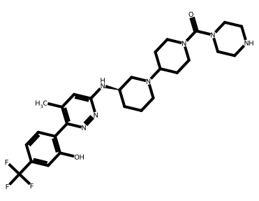 Cc1cc(N[C@@H]2CCCN(C3CCN(C(=O)N4CCNCC4)CC3)C2)nnc1-c1ccc(C(F)(F)F)cc1O